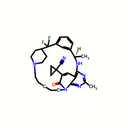 Cc1nc2c3cc(C4(C#N)CC4)c(=O)n(c3n1)CCCCCN1CCC(CC1)C(F)(F)c1cccc(c1)[C@@H](C)N2